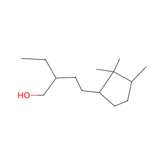 CCC(CO)CCC1CCC(C)C1(C)C